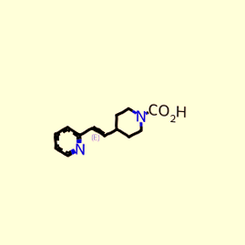 O=C(O)N1CCC(/C=C/c2ccccn2)CC1